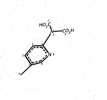 Cc1ccc(N(C(=O)O)C(=O)O)nc1